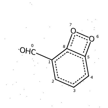 O=[C]c1cccc2ooc12